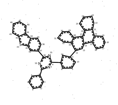 c1ccc(-c2nc(-c3cccc(-c4cc5c6ccccc6c6ccccc6c5c5ccccc45)c3)nc(-c3ccc4c(c3)sc3ccccc34)n2)cc1